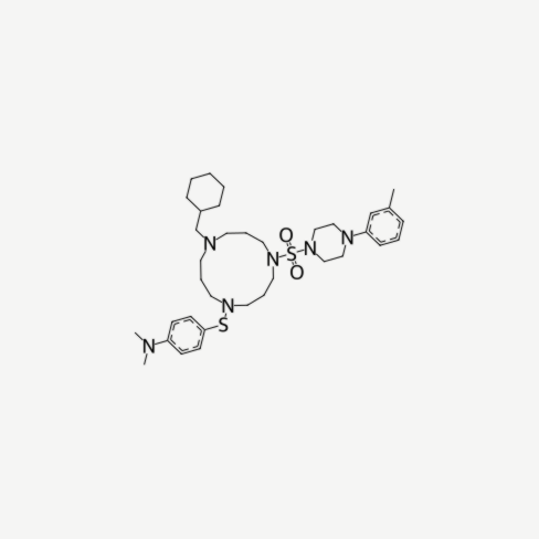 Cc1cccc(N2CCN(S(=O)(=O)N3CCCN(CC4CCCCC4)CCCN(Sc4ccc(N(C)C)cc4)CCC3)CC2)c1